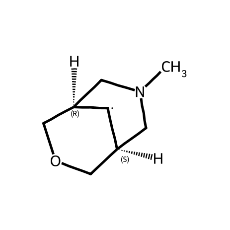 CN1C[C@@H]2[CH][C@@H](COC2)C1